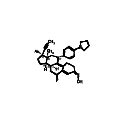 CC#C[C@]1(C(C)=O)CC[C@H]2[C@@H]3CC(F)C4=CC(=NO)CCC4=C3[C@@H](c3ccc(N4CCCC4)cc3)C[C@@]21C